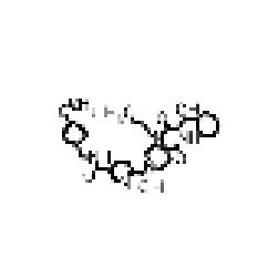 CCCCN1C(=O)[C@@H]([C@H](O)C2CCCCC2)NC(=O)C12CCN(Cc1ccc(C(=O)NCc3ccc(OC)cc3)cn1)CC2.Cl